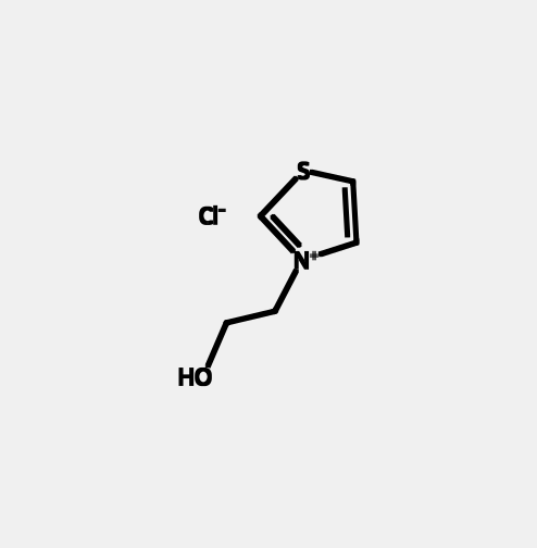 OCC[n+]1ccsc1.[Cl-]